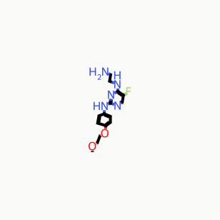 COCCOc1ccc(Nc2ncc(F)c(NCCN)n2)cc1